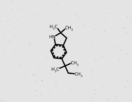 CCC(C)(C)c1ccc2c(c1)CC(C)(C)N2